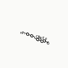 CCCc1ccc(-c2ccc(CCc3ccc(-c4ccc5cc(C6CO6)c(F)c(F)c5c4F)c(F)c3C(F)(F)F)cc2)cc1